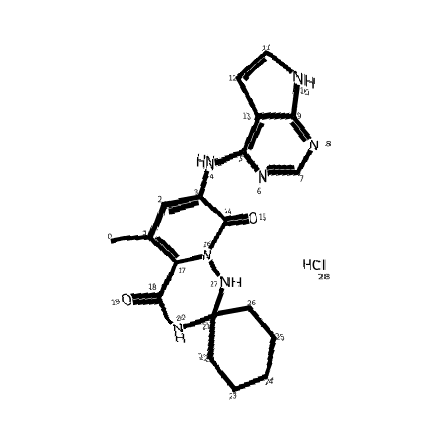 Cc1cc(Nc2ncnc3[nH]ccc23)c(=O)n2c1C(=O)NC1(CCCCC1)N2.Cl